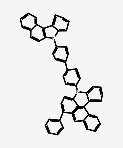 c1ccc(-c2ccc(N(c3ccc(-c4ccc(-n5c6ccccc6c6c7ccccc7ccc65)cc4)cc3)c3ccccc3-c3cccc4ccccc34)cc2)cc1